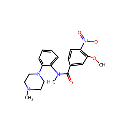 COc1cc(C(=O)N(C)c2ccccc2N2CCN(C)CC2)ccc1[N+](=O)[O-]